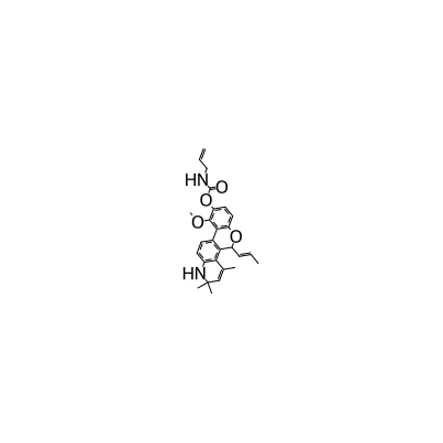 C=CCNC(=O)Oc1ccc2c(c1OC)-c1ccc3c(c1C(C=CC)O2)C(C)=CC(C)(C)N3